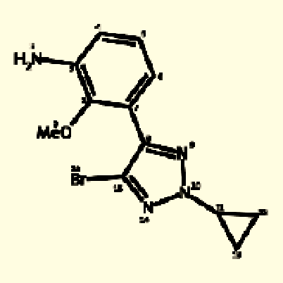 COc1c(N)cccc1-c1nn(C2CC2)nc1Br